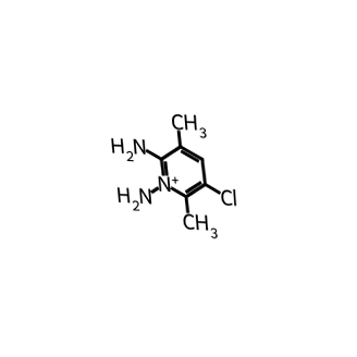 Cc1cc(Cl)c(C)[n+](N)c1N